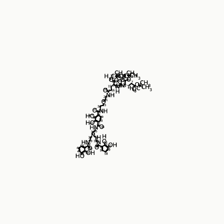 CC(C)(C)OC(=O)CC[C@H](NC(=O)N[C@@H](CCC(=O)NCCOCCNC(=O)c1ccc(C(=O)NCCN(CCNC(=O)c2cccc(O)c2O)CCNC(=O)c2cccc(O)c2O)c(O)c1O)C(=O)OC(C)(C)C)C(=O)OC(C)(C)C